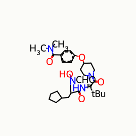 CN(C)C(=O)c1ccc(OC2CCN(C(=O)[C@H](NC(=O)C(CC3CCCC3)CN(O)C=O)C(C)(C)C)CC2)cc1